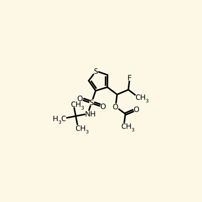 CC(=O)OC(c1cscc1S(=O)(=O)NC(C)(C)C)C(C)F